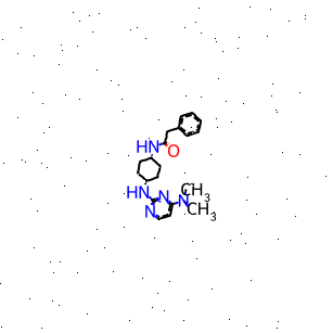 CN(C)c1ccnc(N[C@H]2CC[C@@H](NC(=O)Cc3ccccc3)CC2)n1